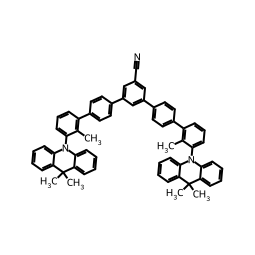 Cc1c(-c2ccc(-c3cc(C#N)cc(-c4ccc(-c5cccc(N6c7ccccc7C(C)(C)c7ccccc76)c5C)cc4)c3)cc2)cccc1N1c2ccccc2C(C)(C)c2ccccc21